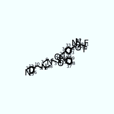 O=S(=O)(CCN1CCN(CCc2ccncc2)CC1)N(Cc1ccc(-c2nnc(C(F)F)o2)cc1)c1ccccc1